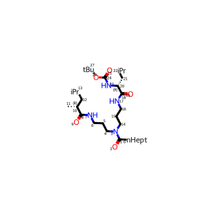 CCCCCCCC(=O)N(CCCNC(=O)[C@H](C)CC(C)C)CCCNC(=O)[C@@H](CC(C)C)NC(=O)OC(C)(C)C